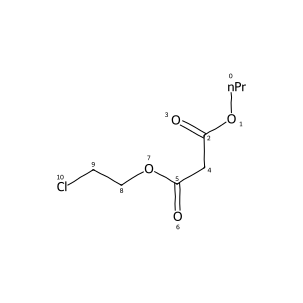 CCCOC(=O)CC(=O)OCCCl